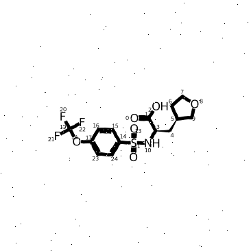 O=C(O)[C@@H](C[C@H]1CCOC1)NS(=O)(=O)c1ccc(OC(F)(F)F)cc1